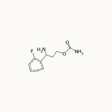 NC(=O)OCCC(N)c1ccccc1F